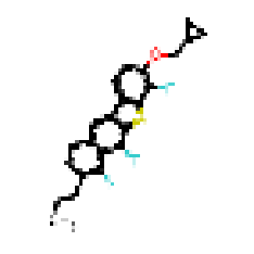 CCCc1ccc2cc3c(sc4c(F)c(OCC5CC5)ccc43)c(F)c2c1F